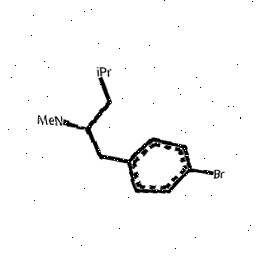 CN[C@H](Cc1ccc(Br)cc1)CC(C)C